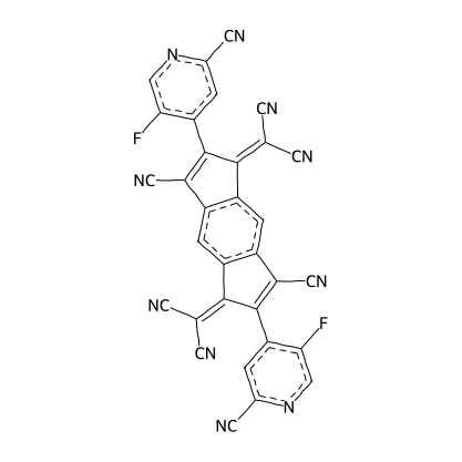 N#CC(C#N)=C1C(c2cc(C#N)ncc2F)=C(C#N)c2cc3c(cc21)C(C#N)=C(c1cc(C#N)ncc1F)C3=C(C#N)C#N